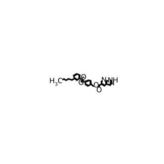 CCCCCc1cccc(S(=O)(=O)c2ccc(COC(=O)c3cnc4[nH]ncc4c3)cc2)c1